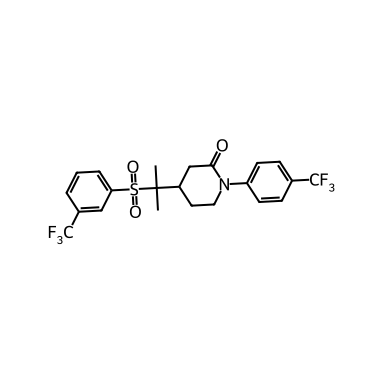 CC(C)(C1CCN(c2ccc(C(F)(F)F)cc2)C(=O)C1)S(=O)(=O)c1cccc(C(F)(F)F)c1